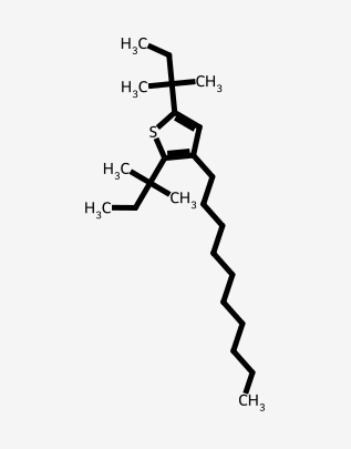 CCCCCCCCCCc1cc(C(C)(C)CC)sc1C(C)(C)CC